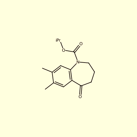 Cc1cc2c(cc1C)N(C(=O)OC(C)C)CCCC2=O